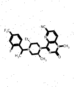 CC[C@@H]1CN(c2nc(=O)n(C)c3ccc(C#N)nc23)[C@@H](C)CN1C(C)c1ccc(C(F)(F)F)cc1F